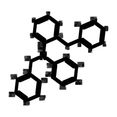 c1ccc(Cc2ccccc2N(Cc2ccccc2)c2ccccc2)cc1